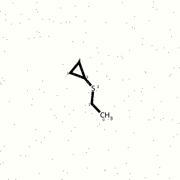 C[CH]SC1CC1